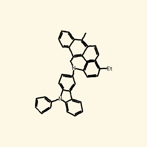 CCc1ccc(N(Cc2c3ccccc3c(C)c3ccccc23)c2ccc3c(c2)c2ccccc2n3-c2ccccc2)cc1